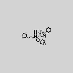 Cc1nc(-c2ccccc2)nc(-c2cccnc2)c1C(=O)NCCCc1ccccc1